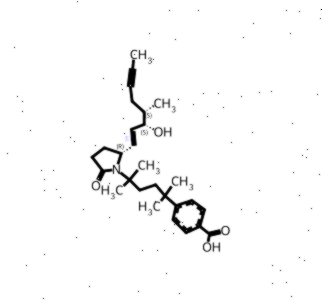 CC#CC[C@H](C)[C@H](O)/C=C/[C@H]1CCC(=O)N1C(C)(C)CCC(C)(C)c1ccc(C(=O)O)cc1